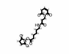 O=C(CCN1C(=O)C=CCC1=O)NCCCCCC(=O)ON1C(=O)CCC1=O